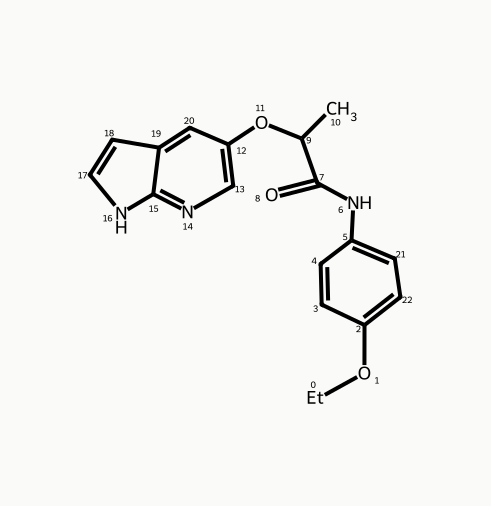 CCOc1ccc(NC(=O)C(C)Oc2cnc3[nH]ccc3c2)cc1